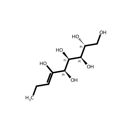 CCC=C(O)[C@H](O)[C@@H](O)[C@H](O)[C@H](O)CO